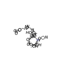 CC[C@H]1OC(=O)[C@H](C)C(=O)[C@H](C)[C@@H](O[C@@H]2O[C@H](C)C[C@H](N(C)CCc3cn(CCc4ccc([N+](=O)[O-])cc4)nn3)[C@H]2O)[C@](C)(OC)CC/C(=N\O[C@H]2CC[C@@H](N(C)C)CC2)[C@H](C)[C@@H](O)[C@@]1(O)CC